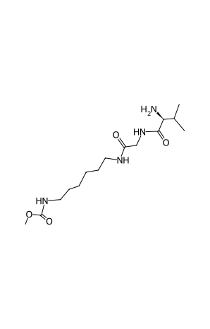 COC(=O)NCCCCCCNC(=O)CNC(=O)[C@@H](N)C(C)C